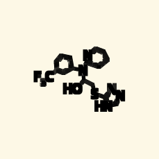 OC(CSc1nnc[nH]1)N(c1cccc(C(F)(F)F)c1)c1ccccn1